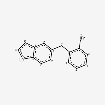 CC(C)c1ccccc1Cc1ccc2[nH]ccc2c1